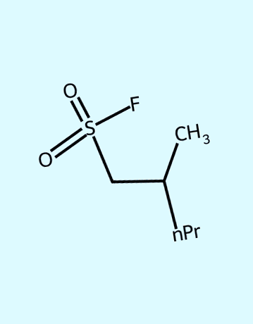 CCCC(C)CS(=O)(=O)F